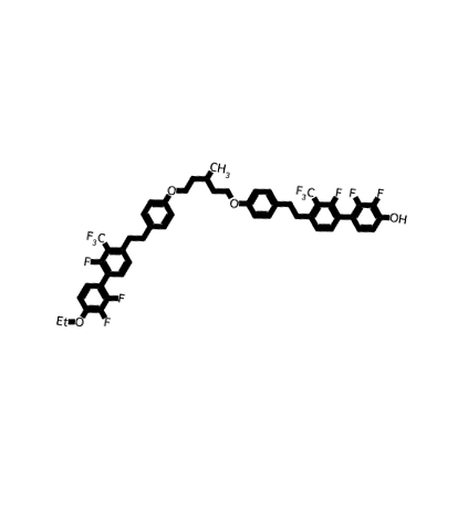 CCOc1ccc(-c2ccc(CCc3ccc(OCCC(C)CCOc4ccc(CCc5ccc(-c6ccc(O)c(F)c6F)c(F)c5C(F)(F)F)cc4)cc3)c(C(F)(F)F)c2F)c(F)c1F